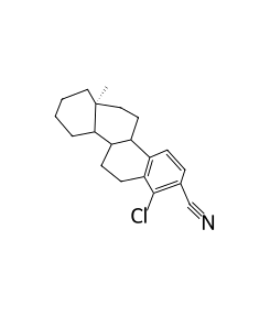 C[C@@]12CCCCC1C1CCc3c(ccc(C#N)c3Cl)C1CC2